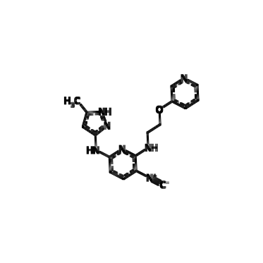 [C-]#[N+]c1ccc(Nc2cc(C)[nH]n2)nc1NCCOc1cccnc1